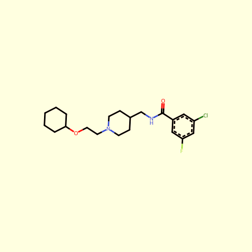 O=C(NCC1CCN(CCOC2CCCCC2)CC1)c1cc(F)cc(Cl)c1